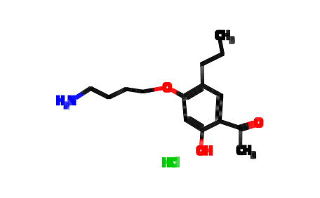 CCCc1cc(C(C)=O)c(O)cc1OCCCCN.Cl